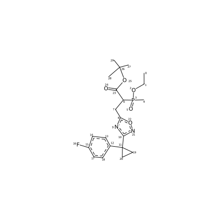 CCOP(C)(=O)C(Cc1nc(C2(c3ccc(F)cc3)CC2)no1)C(=O)OC(C)(C)C